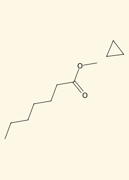 C1CC1.CCCCCCC(=O)OC